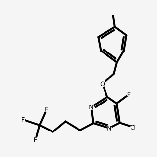 Cc1ccc(COc2nc(CCCC(F)(F)F)nc(Cl)c2F)cc1